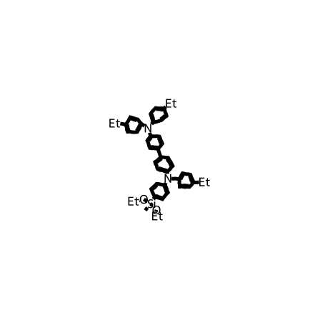 CCO[Si](C)(OCC)c1ccc(N(c2ccc(CC)cc2)c2ccc(-c3ccc(N(c4ccc(CC)cc4)c4ccc(CC)cc4)cc3)cc2)cc1